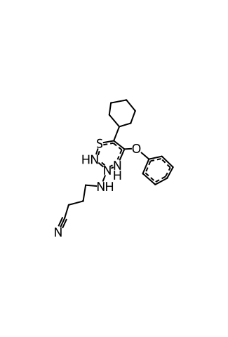 N#CCCCNn1[nH]sc(C2CCCCC2)c(Oc2ccccc2)[nH]1